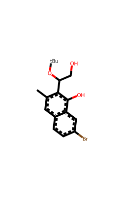 Cc1cc2ccc(Br)cc2c(O)c1C(CO)OC(C)(C)C